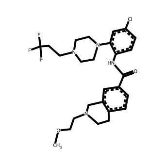 COCCN1CCc2ccc(C(=O)Nc3ccc(Cl)cc3N3CCN(CCC(F)(F)F)CC3)cc2C1